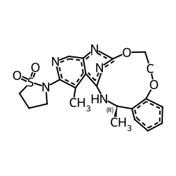 Cc1c(N2CCCS2(=O)=O)ncc2nc3nc(c12)N[C@H](C)c1ccccc1OCCO3